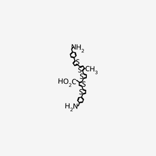 Cc1cc(-c2ccc(-c3ccc(CN)cc3)s2)sc1-c1ccc(-c2sc(-c3ccc(-c4ccc(CN)cc4)s3)cc2CC(=O)O)s1